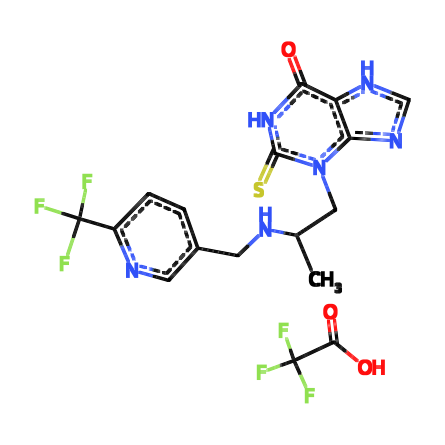 CC(Cn1c(=S)[nH]c(=O)c2[nH]cnc21)NCc1ccc(C(F)(F)F)nc1.O=C(O)C(F)(F)F